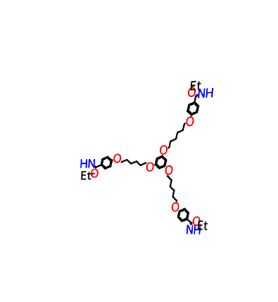 CCOC(=N)c1ccc(OCCCCCCOc2cc(OCCCCCCOc3ccc(C(=N)OCC)cc3)cc(OCCCCCCOc3ccc(C(=N)OCC)cc3)c2)cc1